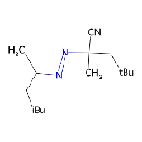 CCC(C)CC(C)N=NC(C)(C#N)CC(C)(C)C